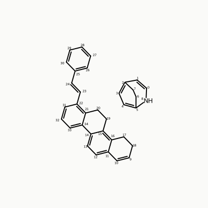 C1=CC2=CC=C(CC2)N1.C1=Cc2ccc3c(c2CC1)CCc1c(/C=C/c2ccccc2)cccc1-3